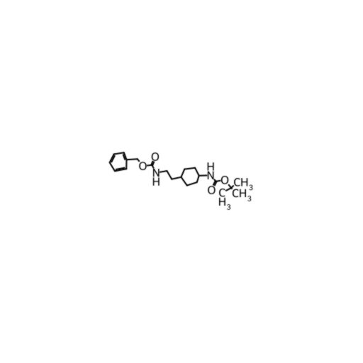 CC(C)(C)OC(=O)NC1CCC(CCNC(=O)OCc2ccccc2)CC1